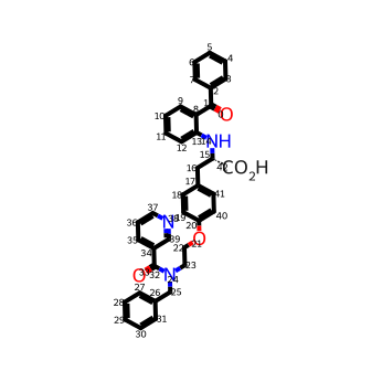 O=C(c1ccccc1)c1ccccc1N[C@@H](Cc1ccc(OCCN(Cc2ccccc2)C(=O)c2cccnc2)cc1)C(=O)O